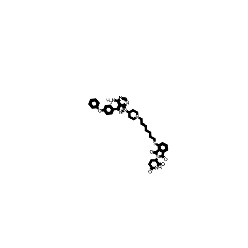 Nc1ncnc2c1c(-c1ccc(Oc3ccccc3)cc1)nn2C1CCN(CCCCCCCSc2cccc3c2C(=O)N(C2CCC(=O)NC2=O)C3=O)CC1